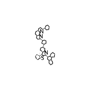 C[C@@]12CC=CC=C1Sc1c(-c3cc4ccccc4c4ccccc34)nc3cc(-c4cccc(-c5ccc6ccc7ccc(-c8ccccc8)nc7c6n5)c4)ccc3c12